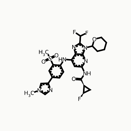 Cn1cnc(-c2ccc(Nc3cc(NC(=O)[C@H]4C[C@H]4F)nc4c3nc(C(F)F)n4C3CCCCO3)c(S(C)(=O)=O)c2)c1